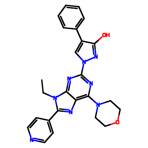 CCn1c(-c2ccncc2)nc2c(N3CCOCC3)nc(-n3cc(-c4ccccc4)c(O)n3)nc21